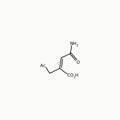 CC(=O)C/C(=C/C(N)=O)C(=O)O